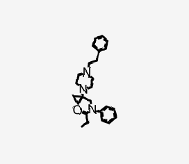 CCC(=O)N(CC1(N2CCN(CCc3ccccc3)CC2)CC1)c1ccccc1